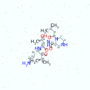 CC(C)CC(=O)N1CCNC[C@H]1C(=O)N[C@H](C(=O)N[C@@H](CCCN)C(=O)C(C)C)C(C)O